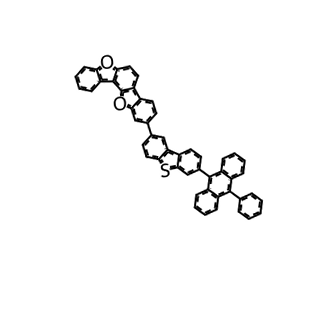 c1ccc(-c2c3ccccc3c(-c3ccc4c(c3)sc3ccc(-c5ccc6c(c5)oc5c6ccc6oc7ccccc7c65)cc34)c3ccccc23)cc1